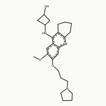 COc1cc2c(NC3CC(O)C3)c3c(nc2cc1OCCCN1CCCC1)CCCC3